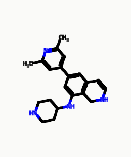 Cc1cc(-c2cc3c(c(NC4CCNCC4)c2)CNC=C3)cc(C)n1